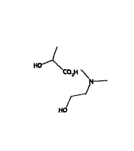 CC(O)C(=O)O.CN(C)CCO